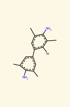 [2H]c1c(-c2cc(C)c(N)c(C)c2)cc(C)c(N)c1C